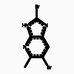 Cc1nc2[nH]c(Br)nc2cc1Br